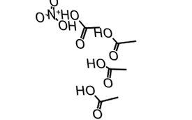 CC(=O)O.CC(=O)O.CC(=O)O.CC(=O)O.O=[N+]([O-])O